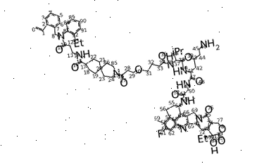 C=Cc1ccccc1CN(C(=O)CCNC(=O)C1CCC2(CC1)CCN(C(=O)CCOCCCC(=O)NC(C(=O)NC(CCCCN)C(=O)NCC(=O)NC1CCc3c(C)c(F)cc4nc5c(c1c34)Cn1c-5cc3c(c1=O)COC(=O)C3(O)CC)C(C)C)CC2)c1ccccc1CC